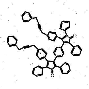 O=C1C(c2ccccc2)=C(c2ccc(CC#CCc3ccccc3)cc2)C(c2ccc(C3=C(c4ccccc4)C(=O)C(c4ccccc4)=C3c3ccc(CC#CCc4ccccc4)cc3)cc2)=C1c1ccccc1